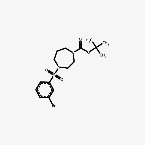 CC(C)(C)OC(=O)N1CCCN(S(=O)(=O)c2cccc(Br)c2)CC1